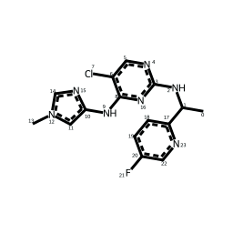 CC(Nc1ncc(Cl)c(Nc2cn(C)cn2)n1)c1ccc(F)cn1